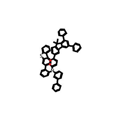 CC1(C)c2ccc(-c3ccc(N(c4cccc(-c5ccccc5)c4)c4ccccc4-c4ccc5c(c4)sc4ccccc45)cc3)cc2-c2cc(-c3ccccc3)cc(-c3ccccc3)c21